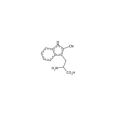 N#Cc1[nH]c2ccccc2c1CC(N)C(=O)O